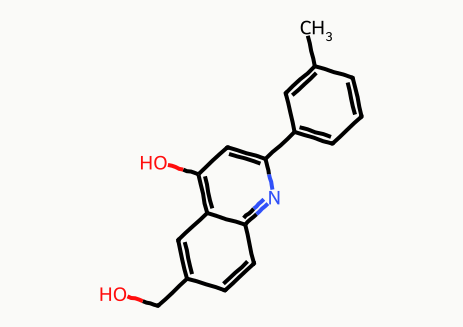 Cc1cccc(-c2cc(O)c3cc(CO)ccc3n2)c1